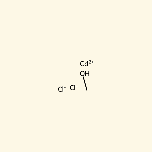 CO.[Cd+2].[Cl-].[Cl-]